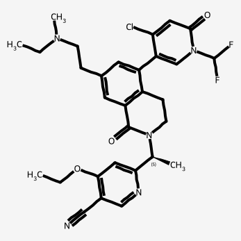 CCOc1cc([C@H](C)N2CCc3c(cc(CCN(C)CC)cc3-c3cn(C(F)F)c(=O)cc3Cl)C2=O)ncc1C#N